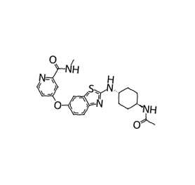 CNC(=O)c1cc(Oc2ccc3nc(N[C@H]4CC[C@H](NC(C)=O)CC4)sc3c2)ccn1